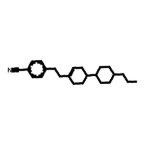 CCCC1CCC(C2CC=C(CCc3ccc(C#N)cc3)CC2)CC1